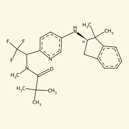 CN(C(=O)C(C)(C)C)C(c1ccc(N[C@@H]2Cc3ccccc3C2(C)C)cn1)C(F)(F)F